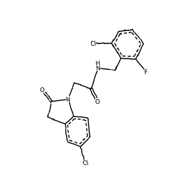 O=C(CN1C(=O)Cc2cc(Cl)ccc21)NCc1c(F)cccc1Cl